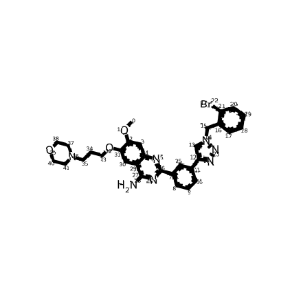 COc1cc2nc(-c3cccc(-c4cn(Cc5ccccc5Br)nn4)c3)nc(N)c2cc1OCCCN1CCOCC1